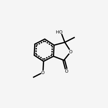 COc1cccc2c1C(=O)OC2(C)O